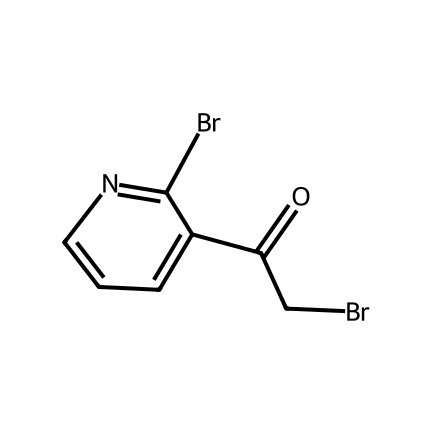 O=C(CBr)c1cccnc1Br